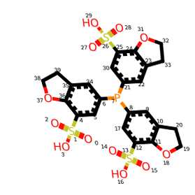 O=S(=O)(O)c1cc(P(c2cc3c(c(S(=O)(=O)O)c2)OCC3)c2cc3c(c(S(=O)(=O)O)c2)OCC3)cc2c1OCC2